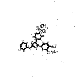 COc1cc(-c2nc(Cc3ccccc3)oc2-c2ccc(S(C)(=O)=O)cc2)ccc1Cl